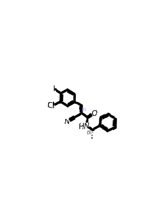 C[C@H](NC(=O)/C(C#N)=C/c1ccc(I)c(Cl)c1)c1ccccc1